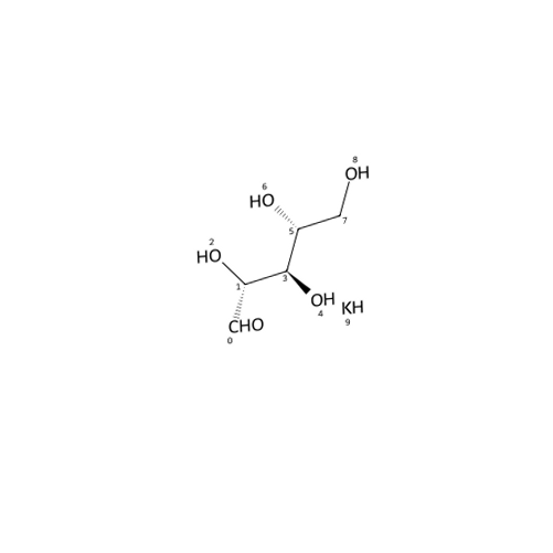 O=C[C@H](O)[C@H](O)[C@H](O)CO.[KH]